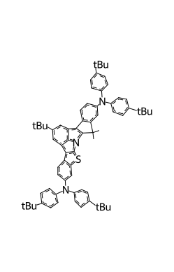 CC(C)(C)c1ccc(N(c2ccc(C(C)(C)C)cc2)c2ccc3c(c2)C(C)(C)c2c-3c3cc(C(C)(C)C)cc4c5c6ccc(N(c7ccc(C(C)(C)C)cc7)c7ccc(C(C)(C)C)cc7)cc6sc5n2c34)cc1